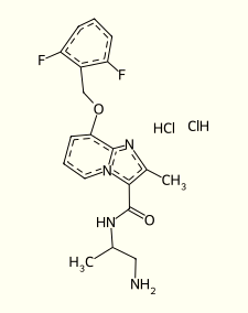 Cc1nc2c(OCc3c(F)cccc3F)cccn2c1C(=O)NC(C)CN.Cl.Cl